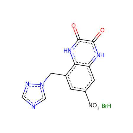 Br.O=c1[nH]c2cc([N+](=O)[O-])cc(Cn3cncn3)c2[nH]c1=O